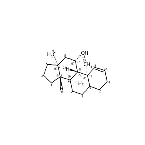 C[C@@]12CCC[C@H]1[C@@H]1CCC3CCC=C[C@]3(C)[C@H]1[C@@H](O)C2